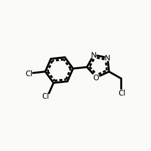 ClCc1nnc(-c2ccc(Cl)c(Cl)c2)o1